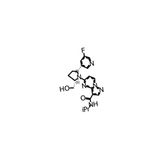 CC(C)NC(=O)c1cnn2ccc(N3[C@H](CO)CC[C@@H]3c3cncc(F)c3)nc12